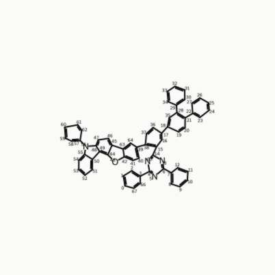 c1ccc(-c2nc(-c3ccccc3)nc(-c3cc(-c4ccc(-c5ccccc5)c(-c5ccccc5)c4)ccc3-c3ccc4oc5c(ccc6c5c5ccccc5n6-c5ccccc5)c4c3)n2)cc1